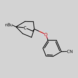 CCCCC12CCC(Oc3cccc(C#N)c3)(CC1)CC2